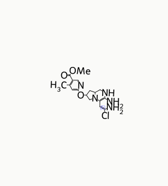 COC(=O)c1cnc(OC2CC3CNC(N)=C(/C=C(\N)Cl)N3C2)cc1C